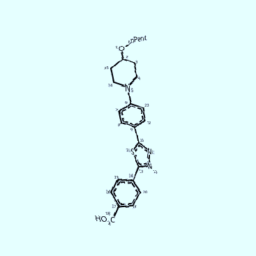 CCCCCOC1CCN(c2ccc(-c3nnc(-c4ccc(C(=O)O)cc4)s3)cc2)CC1